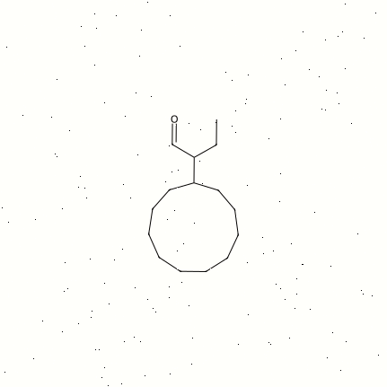 CCC(C=O)C1CCCCCCCCCC1